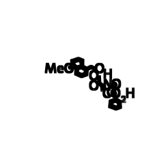 COc1cccc2c(CC(=O)OCC(=O)C(CC(=O)O)NC(=O)OCc3ccccc3)cccc12